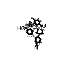 Cc1ccc(C(=O)N2CCC(c3ccc(C#N)cc3)CC2)cc1NS(=O)(=O)c1ccccc1C(=O)O